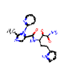 Cc1ncc(C(=O)NC(CCc2ccc[nH]2)C(=O)C(N)=O)n1-c1ccccn1